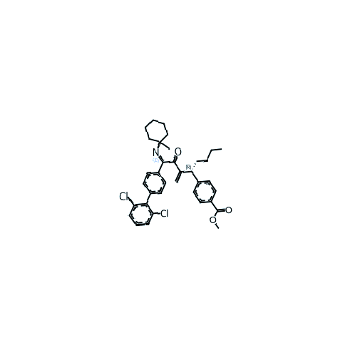 C=C(C(=O)/C(=N\C1(C)CCCCC1)c1ccc(-c2c(Cl)cccc2Cl)cc1)[C@H](CCCC)c1ccc(C(=O)OC)cc1